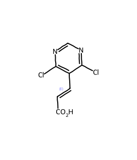 O=C(O)/C=C/c1c(Cl)ncnc1Cl